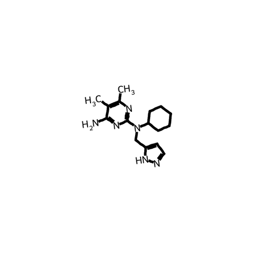 Cc1nc(N(Cc2ccn[nH]2)C2CCCCC2)nc(N)c1C